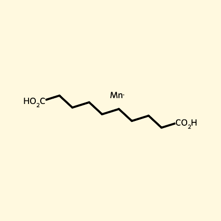 O=C(O)CCCCCCCCC(=O)O.[Mn]